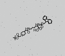 CC(C)(C)OC(=O)CN1CCC(CC(=O)NCCCC[C@@H](NC(=O)OCC2c3ccccc3-c3ccccc32)C(=O)O)CC1